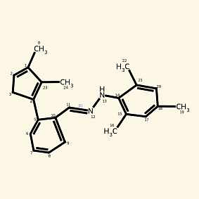 CC1=CCC(c2ccccc2/C=N/Nc2c(C)cc(C)cc2C)=C1C